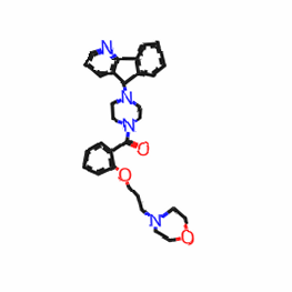 O=C(c1ccccc1OCCCN1CCOCC1)N1CCN(C2c3ccccc3-c3ncccc32)CC1